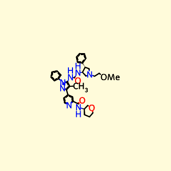 COCCN1C[C@@H](NC(=O)Nc2c(C)c(-c3ccnc(C(=O)N[C@@H]4CCCOC4)c3)nn2-c2ccccc2)[C@H](c2ccccc2)C1